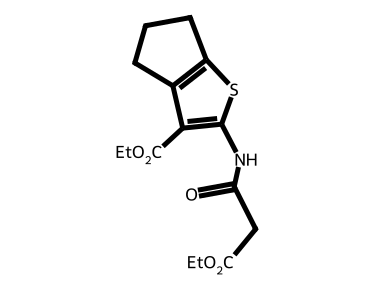 CCOC(=O)CC(=O)Nc1sc2c(c1C(=O)OCC)CCC2